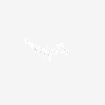 Cc1cc(CC(NC(=O)N2CCC(N3Cc4ccccc4NC3=O)CC2)c2cccc(Br)n2)cc2cn(COCC[Si](C)(C)C)nc12